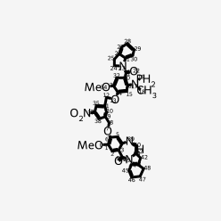 COc1cc2c(cc1OCc1cc(COc3cc(N(C)P)c(C(=O)N4CCc5ccccc54)cc3OC)cc([N+](=O)[O-])c1)N=C[C@@H]1CC3=C(C=CCC3)N1C2=O